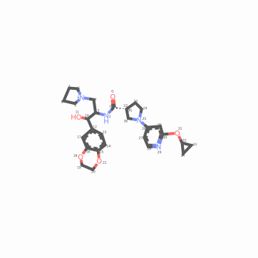 O=C(NC(CN1CCCC1)C(O)c1ccc2c(c1)OCCO2)[C@@H]1CCN(c2ccnc(OC3CC3)c2)C1